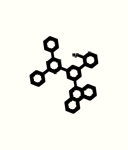 Cc1ncccc1-c1cc(-c2nc(-c3ccccc3)nc(-c3ccccc3)n2)cc(-c2cc3ccccc3c3ccccc23)c1